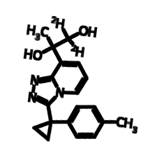 [2H]C([2H])(O)C(C)(O)c1cccn2c(C3(c4ccc(C)cc4)CC3)nnc12